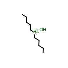 CCCC[CH2][Ge][CH2]CCCC.Cl.Cl